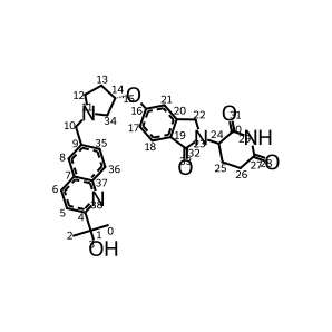 CC(C)(O)c1ccc2cc(CN3CC[C@H](Oc4ccc5c(c4)CN(C4CCC(=O)NC4=O)C5=O)C3)ccc2n1